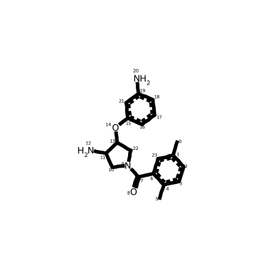 Cc1ccc(C)c(C(=O)N2CC(N)C(Oc3cccc(N)c3)C2)c1